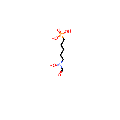 O=CN(O)CCCCCP(=O)(O)O